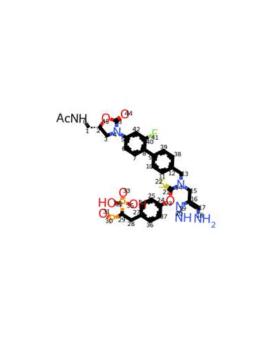 CC(=O)NC[C@H]1CN(c2ccc(-c3ccc(CN(C/C(=C/N)N=N)C(=S)Oc4ccc(CC(P=O)P(=O)(O)O)cc4)cc3)c(F)c2)C(=O)O1